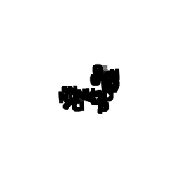 COc1cc(CNc2nc(C)nc(C)c2Cl)ccc1Oc1ccc2ncc([N+](=O)[O-])n2n1